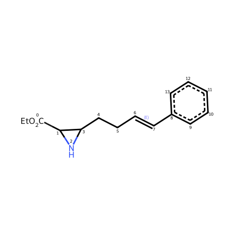 CCOC(=O)C1NC1CC/C=C/c1ccccc1